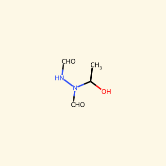 CC(O)N(C=O)NC=O